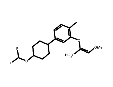 CO/C=C(\Oc1cc(C2CCC(OC(F)F)CC2)ccc1C)C(=O)O